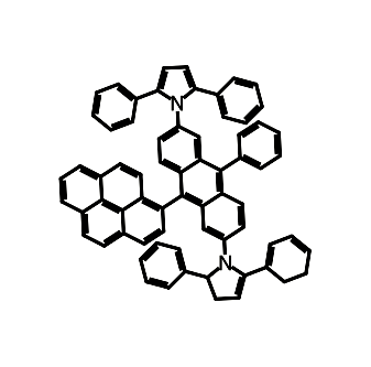 C1=CCCC(C2=CCC(c3ccccc3)N2c2ccc3c(-c4ccccc4)c4cc(-n5c(-c6ccccc6)ccc5-c5ccccc5)ccc4c(-c4ccc5ccc6cccc7ccc4c5c67)c3c2)=C1